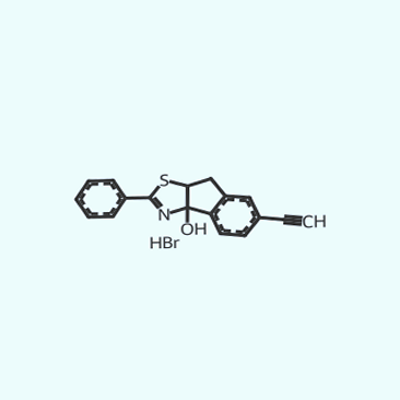 Br.C#Cc1ccc2c(c1)CC1SC(c3ccccc3)=NC21O